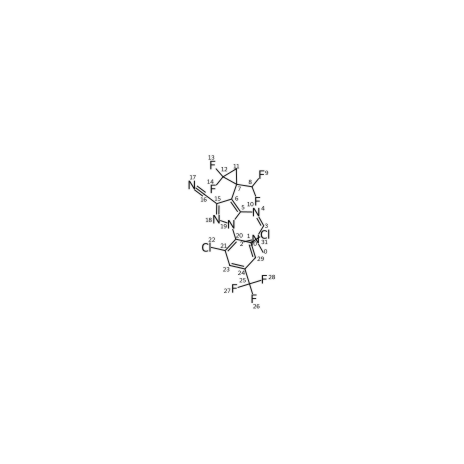 CN(C)/C=N\c1c(C2(C(F)F)CC2(F)F)c(C#N)nn1-c1c(Cl)cc(C(F)(F)F)cc1Cl